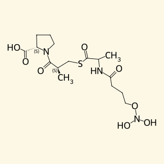 CC(NC(=O)CCCON(O)O)C(=O)SC[C@@H](C)C(=O)N1CCC[C@H]1C(=O)O